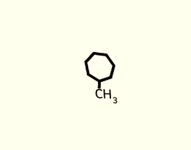 CC1CCCCCC1